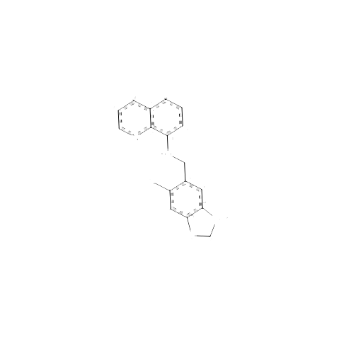 Clc1cc2c(cc1COc1cccc3cccnc13)OCO2